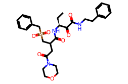 CC[C@H](NC(=O)C(CC(=O)N1CCOCC1)CS(=O)(=O)Cc1ccccc1)C(=O)C(=O)NCCc1ccccc1